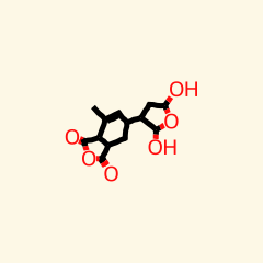 CC1=CC(C2CC(O)OC2O)CC2C(=O)OC(=O)C12